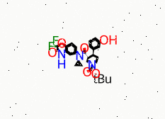 CC(C)(C)OC(=O)N1CC[C@H](c2cccc(O)c2)[C@@H](C(=O)N(c2ccc3c(c2)NC(=O)C(F)(F)O3)C2CC2)C1